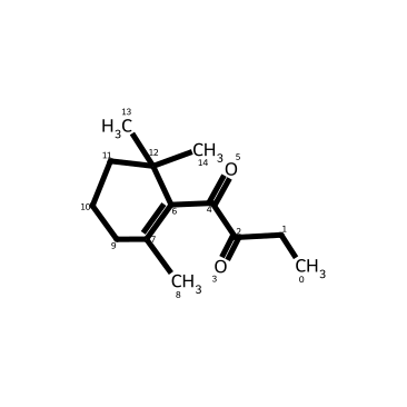 CCC(=O)C(=O)C1=C(C)CCCC1(C)C